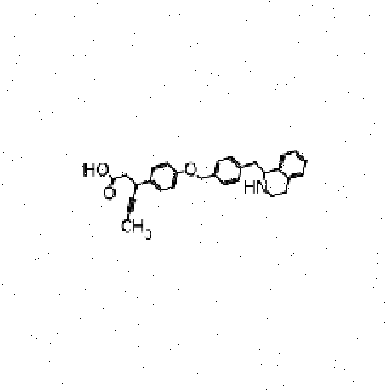 CC#CC(CC(=O)O)c1ccc(OCc2ccc(CC3NCCc4ccccc43)cc2)cc1